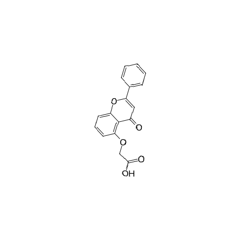 O=C(O)COc1cccc2oc(-c3ccccc3)cc(=O)c12